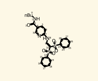 CCCCNC(=O)c1ccc(NC=C(S(=O)(=O)c2ccccc2)S(=O)(=O)c2ccccc2)nc1